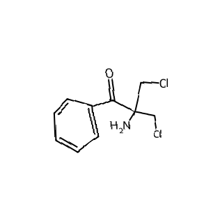 NC(CCl)(CCl)C(=O)c1ccccc1